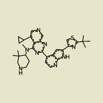 CN(c1nc(-c2ccnc3[nH]c(-c4csc(C(C)(C)C)n4)cc23)nc2cncc(C3CC3)c12)C1CCNCC1(C)C